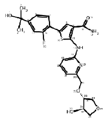 CC(C)(O)c1ccc(-c2cc(C(N)=O)c(Nc3cccc(CO[C@@H]4COC[C@H]4O)n3)s2)c(F)c1